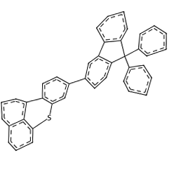 c1ccc(C2(c3ccccc3)c3ccccc3-c3cc(-c4ccc5c(c4)Sc4cccc6cccc-5c46)ccc32)cc1